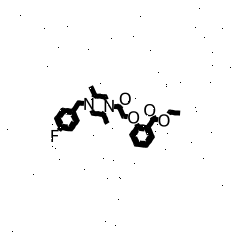 CCOC(=O)c1ccccc1OCC(=O)N1CC(C)N(Cc2ccc(F)cc2)CC1C